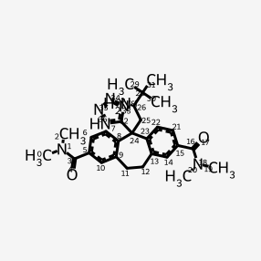 CN(C)C(=O)c1ccc2c(c1)CCc1cc(C(=O)N(C)C)ccc1C2(C[C@H](N)C(C)(C)C)c1nnn[nH]1